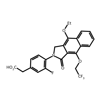 CCOc1c2c(c(OCC(F)(F)F)c3ccccc13)C(=O)N(c1ccc(CC(=O)O)cc1F)C2